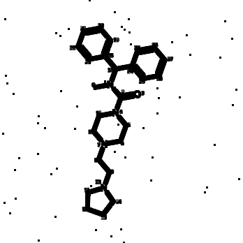 CN(C(=O)N1CCN(CCN2CCCC2)CC1)C(c1ccccc1)c1ccccc1